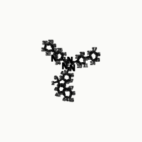 CC1(C)c2cc(-c3nc(-c4ccc(-c5ccccc5)cc4)nc(-c4ccc(-c5ccccc5)nc4)n3)ccc2-c2c1ccc1ccccc21